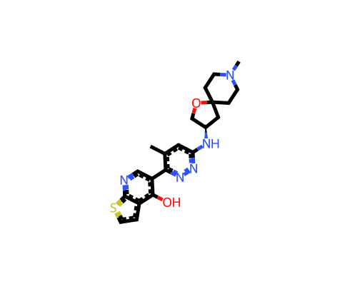 Cc1cc(N[C@H]2COC3(CCN(C)CC3)C2)nnc1-c1cnc2sccc2c1O